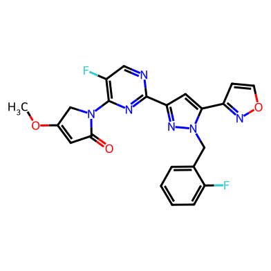 COC1=CC(=O)N(c2nc(-c3cc(-c4ccon4)n(Cc4ccccc4F)n3)ncc2F)C1